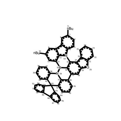 CCCCc1ccc2c(c1)c1cc(CCCC)cc3c1n2-c1c2c(cc4oc5ccccc5c14)-c1cccc4c1N(B23)c1ccccc1C41c2ccccc2-c2ccccc21